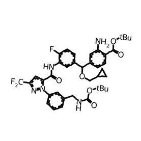 CC(C)(C)OC(=O)NCc1cccc(-n2nc(C(F)(F)F)cc2C(=O)Nc2cc(C(OCC3CC3)c3ccc(C(=O)OC(C)(C)C)c(N)c3)ccc2F)c1